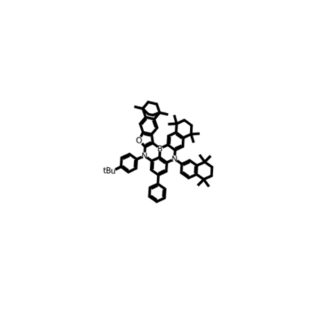 CC(C)(C)c1ccc(N2c3cc(-c4ccccc4)cc4c3B(c3cc5c(cc3N4c3ccc4c(c3)C(C)(C)CCC4(C)C)C(C)(C)CCC5(C)C)c3c2oc2cc4c(cc32)C2(C)CCC4(C)CC2)cc1